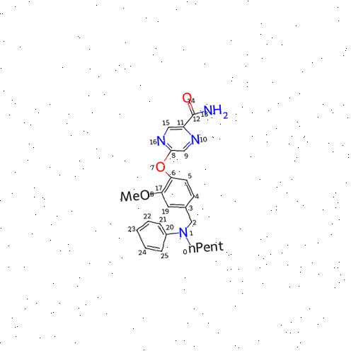 CCCCCN(Cc1ccc(Oc2cnc(C(N)=O)cn2)c(OC)c1)c1ccccc1